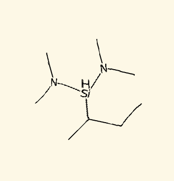 CCC(C)[SiH](N(C)C)N(C)C